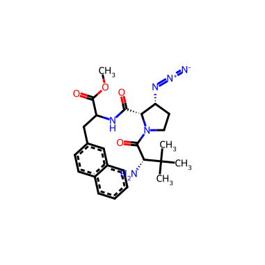 COC(=O)C(Cc1ccc2ccccc2c1)NC(=O)[C@@H]1[C@H](N=[N+]=[N-])CCN1C(=O)[C@@H](N)C(C)(C)C